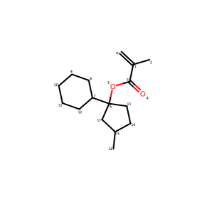 C=C(C)C(=O)OC1(C2CCCCC2)CCC(C)C1